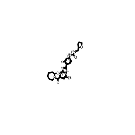 CCc1cc(C(=O)N2CCCCCC2C)nc2nc(-c3ccc(NC(=O)NCC4CCCO4)cc3F)nn12